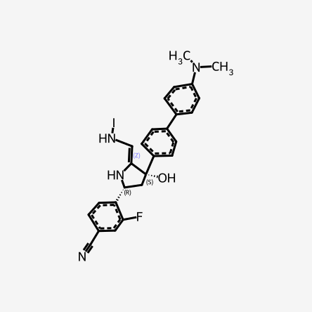 CN(C)c1ccc(-c2ccc([C@@]3(O)C[C@H](c4ccc(C#N)cc4F)N/C3=C\NI)cc2)cc1